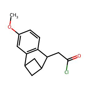 COc1ccc2c(c1)C1CC(C1)C2CC(=O)Cl